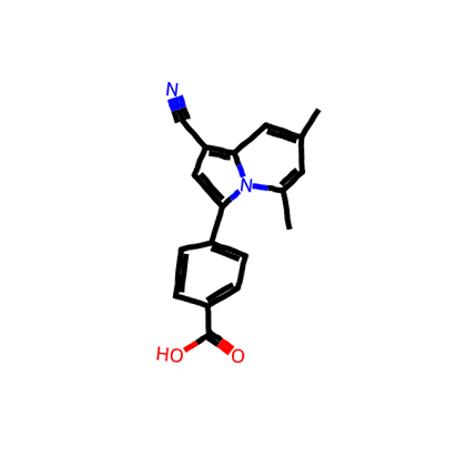 Cc1cc(C)n2c(-c3ccc(C(=O)O)cc3)cc(C#N)c2c1